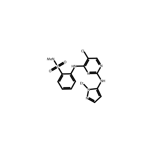 CCn1nccc1Nc1ncc(Cl)c(Nc2ccccc2S(=O)(=O)NC)n1